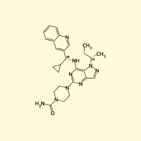 CC[C@H](C)n1ncc2nc(N3CCN(C(N)=O)CC3)nc(N[C@@H](c3cnc4ccccc4c3)C3CC3)c21